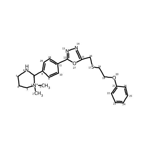 C[N+]1(C)CCCNC1c1ccc(-c2nnc(CSCCOc3ccccc3)o2)cc1